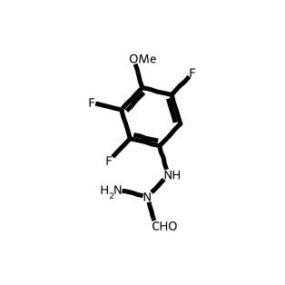 COc1c(F)cc(NN(N)C=O)c(F)c1F